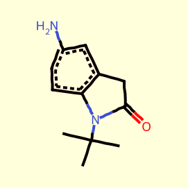 CC(C)(C)N1C(=O)Cc2cc(N)ccc21